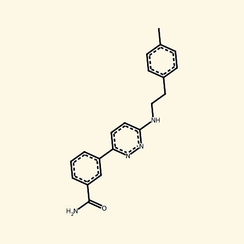 Cc1ccc(CCNc2ccc(-c3cccc(C(N)=O)c3)nn2)cc1